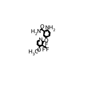 COc1ccnc(Oc2ccc(N)c(C(N)=O)c2)c1C(F)(F)F